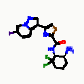 N[C@H]1CCCC(F)(F)[C@@H]1NC(=O)c1nc(-c2cnn3cc(I)ccc23)cs1